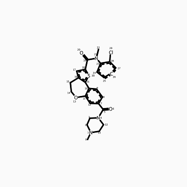 CN1CCN(C(=O)c2ccc3c(c2)OCCc2cc(C(=O)N(C)c4ccccc4Cl)sc2-3)CC1